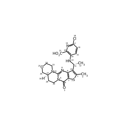 Cc1sc2c(=O)n3c(nc2c1[C@@H](C)Nc1ccc(Cl)nc1C(=O)O)N1CCOC[C@@H]1CC3